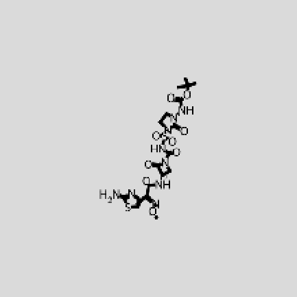 CON=C(C(=O)N[C@H]1CN(C(=O)NS(=O)(=O)N2CCN(NC(=O)OC(C)(C)C)C2=O)C1=O)c1csc(N)n1